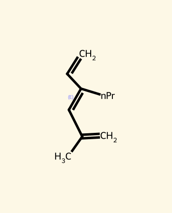 C=C/C(=C/C(=C)C)CCC